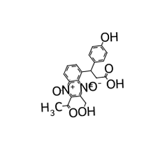 CC(=O)c1c(CO)[n+]([O-])c2c(C(CC(=O)O)c3ccc(O)cc3)cccc2[n+]1[O-]